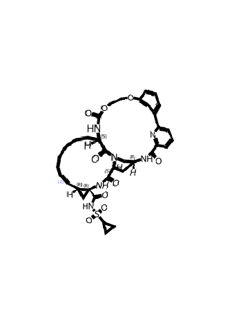 O=C1N[C@H]2CCCCC/C=C\[C@H]3C[C@@]3(C(=O)NS(=O)(=O)C3CC3)NC(=O)[C@@H]3C[C@H](CN3C2=O)NC(=O)c2cccc(n2)-c2cccc(c2)OCCO1